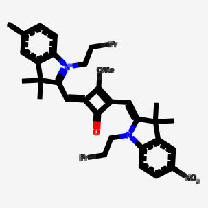 COC1=C(/C=C2\N(CCC(C)C)c3ccc([N+](=O)[O-])cc3C2(C)C)C(=O)/C1=C/C1=[N+](CCC(C)C)c2ccc(C)cc2C1(C)C